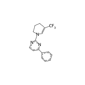 FC(F)(F)C1=CN(c2nccc(-c3ccccc3)n2)CCC1